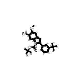 COc1cc2cc(-c3cccc(C(C)(C)C)c3)n(C(=O)OC(C)(C)C)c2cc1Br